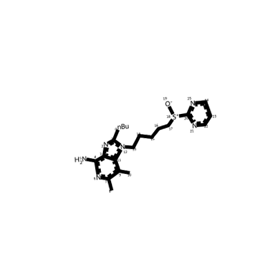 CCCCc1nc2c(N)nc(C)c(C)c2n1CCCCC[S+]([O-])c1ncccn1